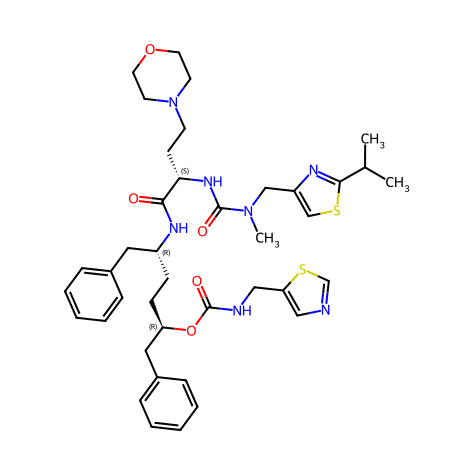 CC(C)c1nc(CN(C)C(=O)N[C@@H](CCN2CCOCC2)C(=O)N[C@H](CC[C@H](Cc2ccccc2)OC(=O)NCc2cncs2)Cc2ccccc2)cs1